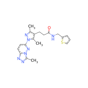 Cc1nn(-c2ccc3nnc(C)n3n2)c(C)c1CCC(=O)NCc1cccs1